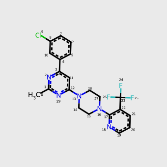 Cc1nc(-c2cccc(Cl)c2)cc(N2CCN(c3ncccc3C(F)(F)F)CC2)n1